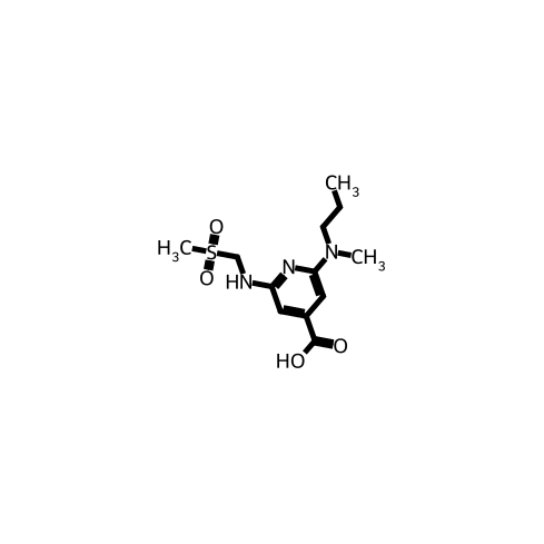 CCCN(C)c1cc(C(=O)O)cc(NCS(C)(=O)=O)n1